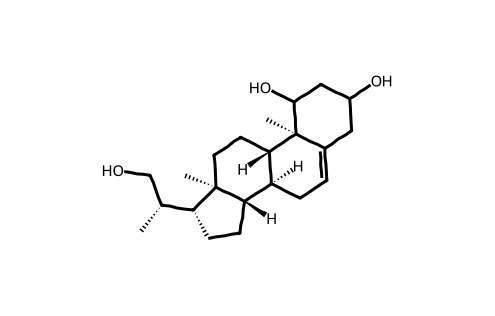 C[C@H](CO)[C@H]1CC[C@H]2[C@@H]3CC=C4CC(O)CC(O)[C@]4(C)[C@H]3CC[C@]12C